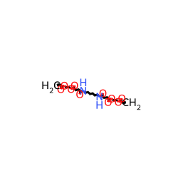 C=CC(=O)OCCOC(=O)CCC(=O)NCCCCCCNC(=O)CCC(=O)OCCOC(=O)C=C